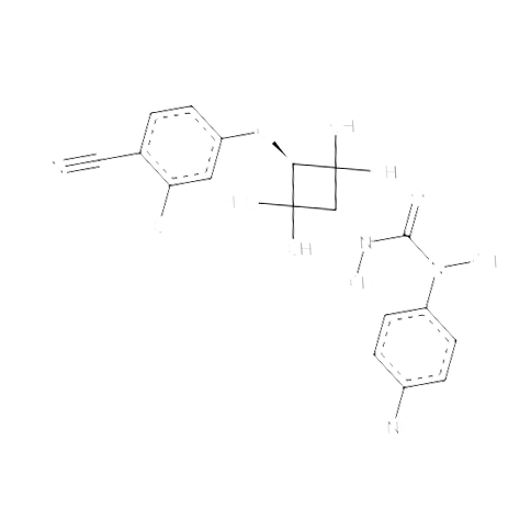 CN(C(=O)N(C)[C@H]1C(C)(C)[C@H](Oc2ccc(C#N)c(Cl)c2)C1(C)C)c1ccc(N)cc1